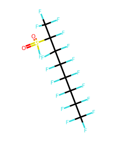 O=S(=O)(F)C(F)(C(F)(F)F)C(F)(F)C(F)(F)C(F)(F)C(F)(F)C(F)(F)C(F)(F)F